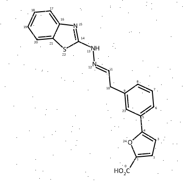 O=C(O)c1ccc(-c2cccc(CC=NNc3nc4ccccc4s3)c2)o1